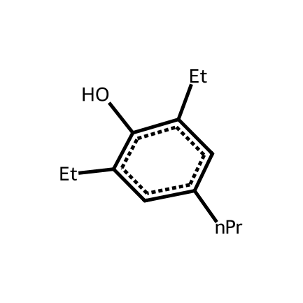 CCCc1cc(CC)c(O)c(CC)c1